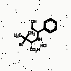 CCC(C)(C)[C@H](N[C@@H](CO)c1ccccc1)C(=O)O.Cl